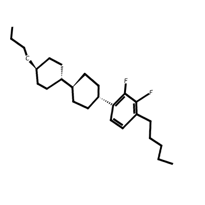 CCCCCc1ccc([C@H]2CC[C@H]([C@H]3CC[C@H](CCCC)CC3)CC2)c(F)c1F